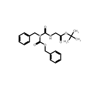 CC(C)(C)OC(=O)CNC(=O)N(Cc1ccccc1)C(=O)OCc1ccccc1